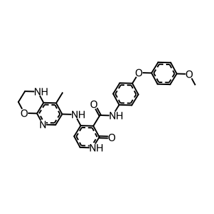 COc1ccc(Oc2ccc(NC(=O)c3c(Nc4cnc5c(c4C)NCCO5)cc[nH]c3=O)cc2)cc1